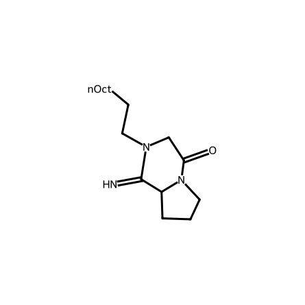 CCCCCCCCCCN1CC(=O)N2CCCC2C1=N